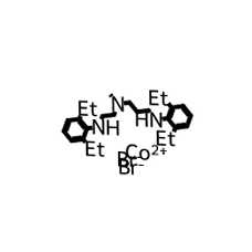 CCc1cccc(CC)c1NCCCN(C)CCNc1c(CC)cccc1CC.[Br-].[Br-].[Co+2]